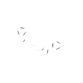 O=C(OCCCc1nc(-c2ccc(Cl)cc2)co1)c1ccccc1